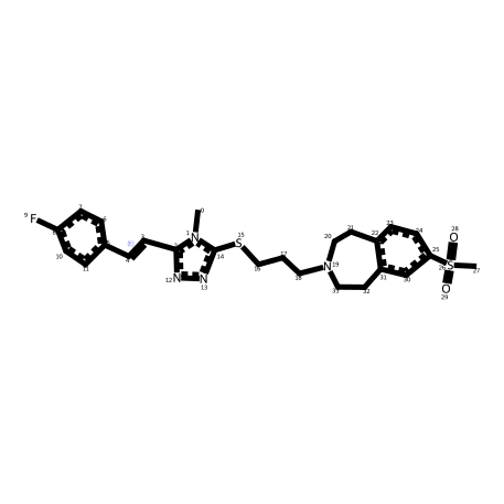 Cn1c(/C=C/c2ccc(F)cc2)nnc1SCCCN1CCc2ccc(S(C)(=O)=O)cc2CC1